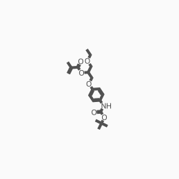 C=C(C)C(=O)OC(COCC)COc1ccc(NC(=O)OC(C)(C)C)cc1